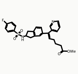 COC(=O)CCCC=C(c1cccnc1)c1ccc2c(c1)CC(NS(=O)(=O)c1ccc(F)cc1)C2